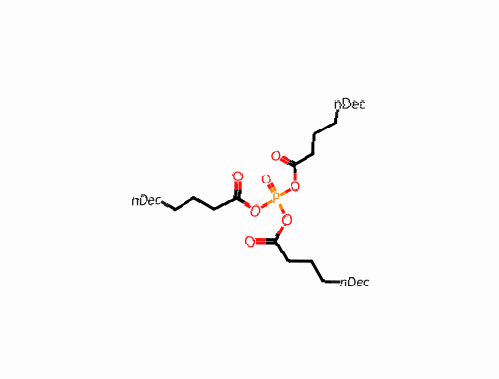 CCCCCCCCCCCCCC(=O)OP(=O)(OC(=O)CCCCCCCCCCCCC)OC(=O)CCCCCCCCCCCCC